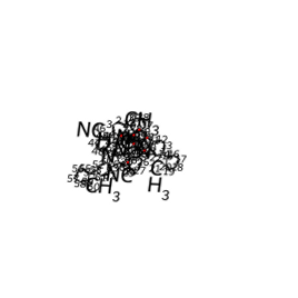 Cc1ccccc1-c1ccc2c3ccc(-c4ccccc4C)cc3n(-c3ccc(C#N)cc3-c3nc(-c4ccccc4)nc(-c4cc(C#N)ccc4-n4c5cc(-c6ccccc6C)ccc5c5ccc(-c6ccccc6C)cc54)n3)c2c1